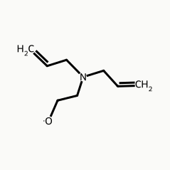 C=CCN(CC=C)CC[O]